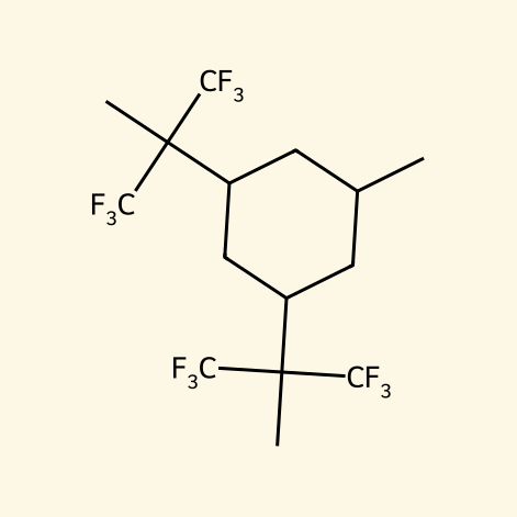 CC1CC(C(C)(C(F)(F)F)C(F)(F)F)CC(C(C)(C(F)(F)F)C(F)(F)F)C1